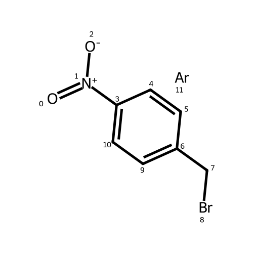 O=[N+]([O-])c1ccc(CBr)cc1.[Ar]